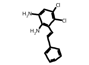 Nc1cc(Cl)c(Cl)c(C=Cc2ccccc2)c1N